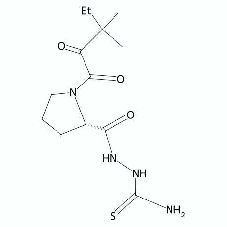 CCC(C)(C)C(=O)C(=O)N1CCC[C@H]1C(=O)NNC(N)=S